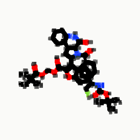 CC(C)(C)OC(=O)NC(CF)[C@H]1CC[C@H](C(=O)N2C(c3c(C(=O)OCOC(=O)C(C)(C)C)oc4ccccc34)C[C@@H](C3CCCCC3)[C@H]2C(N)=O)CC1